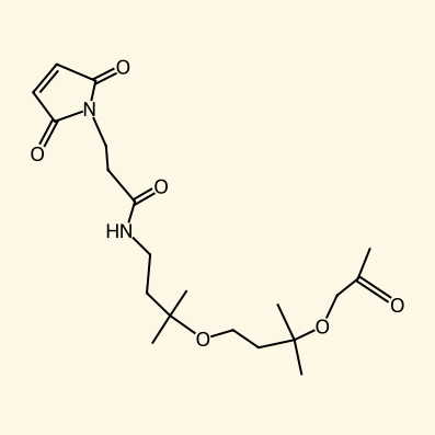 CC(=O)COC(C)(C)CCOC(C)(C)CCNC(=O)CCN1C(=O)C=CC1=O